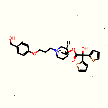 O=C(O[C@H]1C[N+]2(CCCOc3ccc(CO)cc3)CCC1CC2)C(O)(c1cccs1)c1cccs1